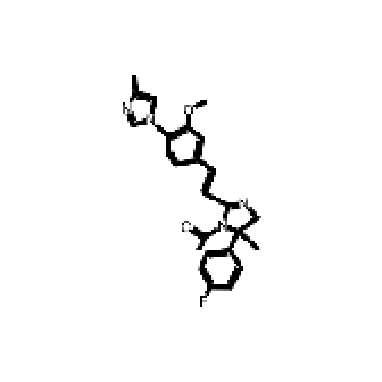 COc1cc(/C=C/C2=NCC(C)(c3ccc(F)cc3)N2C(C)=O)ccc1-n1cnc(C)c1